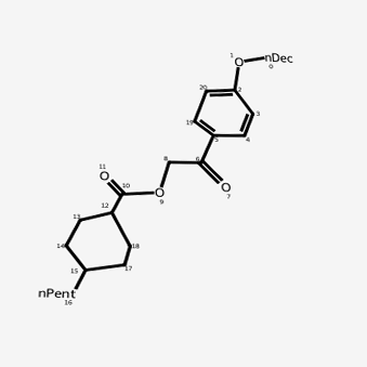 CCCCCCCCCCOc1ccc(C(=O)COC(=O)C2CCC(CCCCC)CC2)cc1